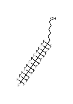 OCCCCCCC(F)(F)C(F)(F)C(F)(F)C(F)(F)C(F)(F)C(F)(F)C(F)(F)C(F)(F)C(F)(F)C(F)(F)C(F)(F)C(F)(F)F